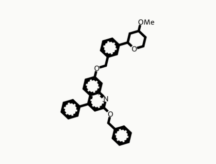 COC1CCOC(c2cccc(COc3ccc4c(-c5ccccc5)cc(OCc5ccccc5)nc4c3)c2)C1